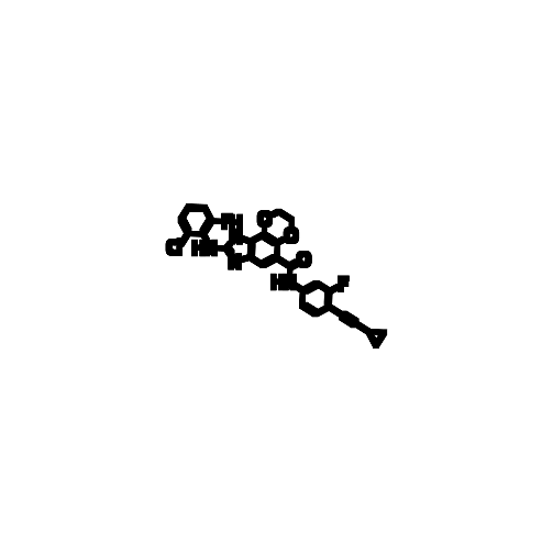 O=C(Nc1ccc(C#CC2CC2)c(F)c1)c1cc2nc(Nc3c(F)cccc3Cl)[nH]c2c2c1OCCO2